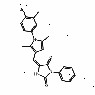 Cc1cc(-n2c(C)cc(/C=C3/NC(=O)N(c4ccccc4)C3=O)c2C)ccc1Br